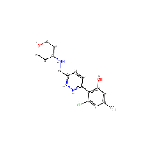 Oc1cc(C(F)(F)F)cc(Cl)c1-c1ccc(CNC2CCOCC2)nn1